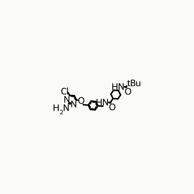 CC(C)(C)C(=O)NC1CCC(C(=O)NCc2ccc(COc3cc(Cl)nc(N)n3)cc2)CC1